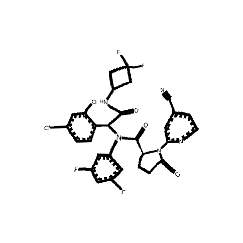 N#Cc1ccnc(N2C(=O)CC[C@H]2C(=O)N(c2cc(F)cc(F)c2)C(C(=O)NC2CC(F)(F)C2)c2ccc(Cl)cc2Cl)c1